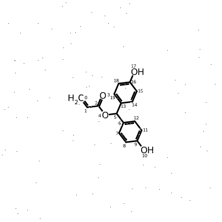 C=CC(=O)OC(c1ccc(O)cc1)c1ccc(O)cc1